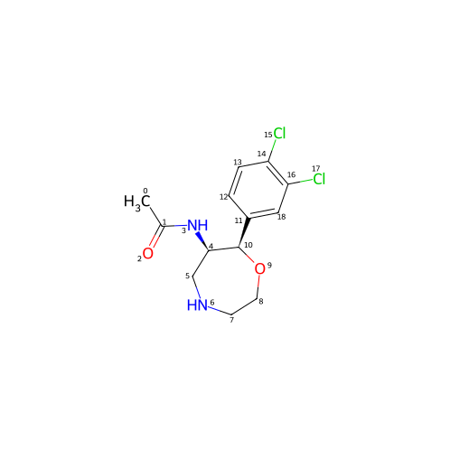 CC(=O)N[C@@H]1CNCCO[C@@H]1c1ccc(Cl)c(Cl)c1